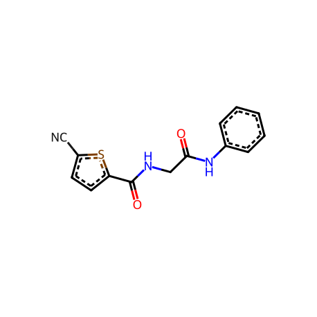 N#Cc1ccc(C(=O)NCC(=O)Nc2ccccc2)s1